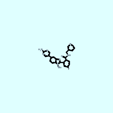 CC(C)(C)n1c(-c2cc(F)ccc2C(=O)NCc2cccnc2)nc2cc(-c3cnc(N)nc3)ccc21